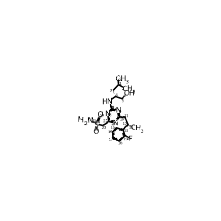 CC(C)C[C@H](CO)Nc1nc(C[C@H](C)c2ccccc2F)nc(CS(N)(=O)=O)n1